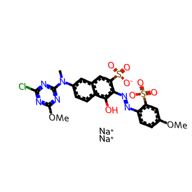 COc1ccc(N=Nc2c(S(=O)(=O)[O-])cc3cc(N(C)c4nc(Cl)nc(OC)n4)ccc3c2O)c(S(=O)(=O)[O-])c1.[Na+].[Na+]